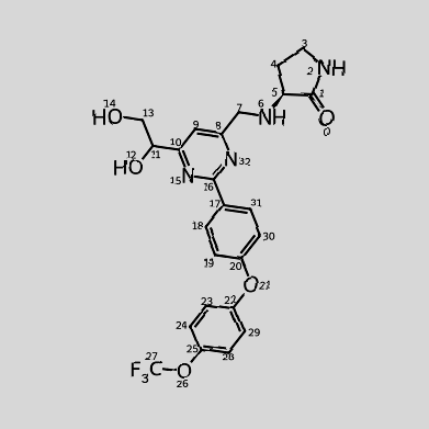 O=C1NCC[C@@H]1NCc1cc(C(O)CO)nc(-c2ccc(Oc3ccc(OC(F)(F)F)cc3)cc2)n1